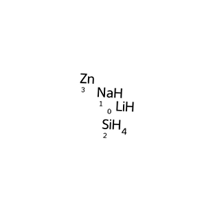 [LiH].[NaH].[SiH4].[Zn]